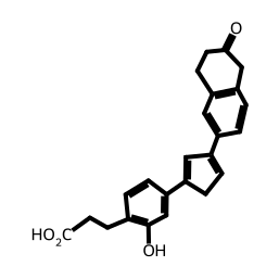 O=C(O)CCc1ccc(C2=CC(c3ccc4c(c3)CCC(=O)C4)=CC2)cc1O